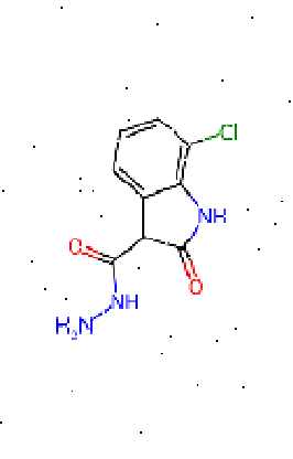 NNC(=O)C1C(=O)Nc2c(Cl)cccc21